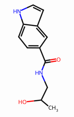 CC(O)CNC(=O)c1ccc2[nH]ccc2c1